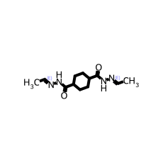 C/C=N/NC(=O)C1CCC(C(=O)N/N=C/C)CC1